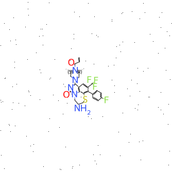 C=CC(=O)N1[C@H](C)CN(c2nc(=O)n3c4c(c(-c5ccc(F)cc5)c(C(F)(F)F)cc24)SCC(N)C3)C[C@@H]1C